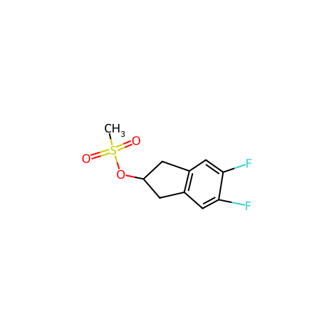 CS(=O)(=O)OC1Cc2cc(F)c(F)cc2C1